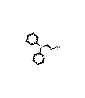 ON=[CH][Fe]([c]1ccccc1)[c]1ccccn1